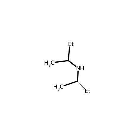 CCC(C)N[C@@H](C)CC